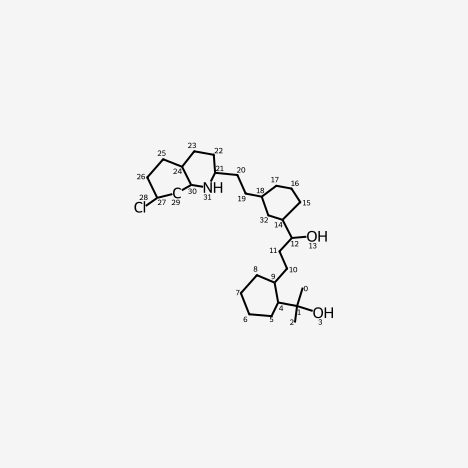 CC(C)(O)C1CCCCC1CCC(O)C1CCCC(CCC2CCC3CCC(Cl)CC3N2)C1